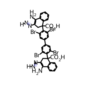 [H]/N=N/C1=C(N)c2ccccc2C(C(=O)O)(c2c(Br)cc(-c3cc(Br)c(C4(C(=O)O)CC(/N=N/[H])=C(N)c5ccccc54)c(Br)c3)cc2Br)C1